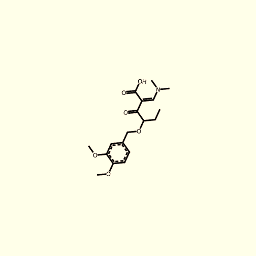 CCC(OCc1ccc(OC)c(OC)c1)C(=O)C(=CN(C)C)C(=O)O